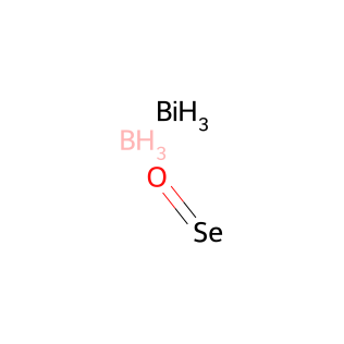 B.O=[Se].[BiH3]